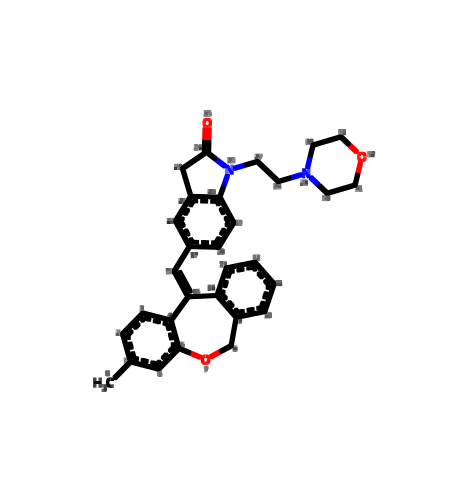 Cc1ccc2c(c1)OCc1ccccc1/C2=C\c1ccc2c(c1)CC(=O)N2CCN1CCOCC1